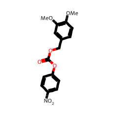 COc1ccc(COC(=O)Oc2ccc([N+](=O)[O-])cc2)cc1OC